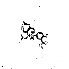 COC(=O)c1cc(S(=O)(=O)N(CC(C)C)c2cnc(C)cc2C)ccc1F